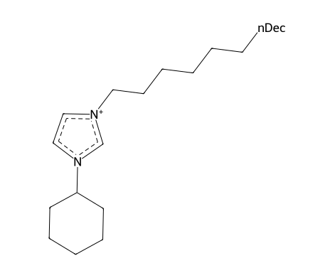 CCCCCCCCCCCCCCCC[n+]1ccn(C2CCCCC2)c1